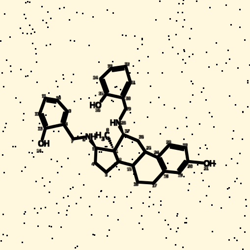 C[C@]12C(CC[C@H]1NCc1ccccc1O)C1CCc3cc(O)ccc3C1C[C@@H]2NCc1ccccc1O